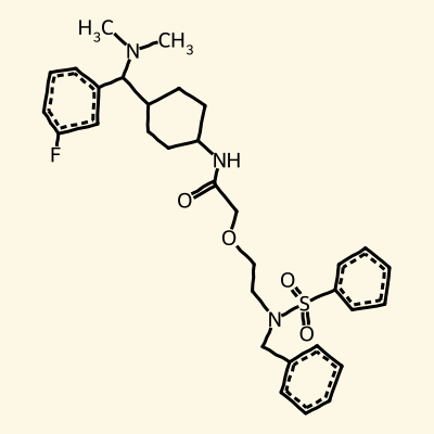 CN(C)C(c1cccc(F)c1)C1CCC(NC(=O)COCCN(Cc2ccccc2)S(=O)(=O)c2ccccc2)CC1